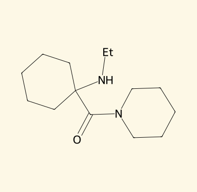 CCNC1(C(=O)N2CCCCC2)CCCCC1